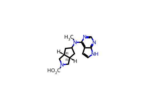 CN(c1ncnc2[nH]ccc12)C1C[C@@H]2CN(C(=O)O)C[C@@H]2C1